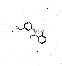 O=Cc1cccc(NC(=O)c2ccccc2Cl)c1